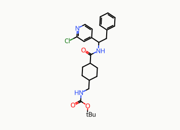 CC(C)(C)OC(=O)NCC1CCC(C(=O)NC(Cc2ccccc2)c2ccnc(Cl)c2)CC1